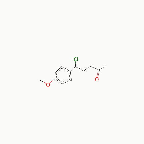 COc1ccc(C(Cl)CCC(C)=O)cc1